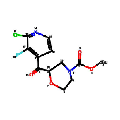 CC(C)(C)OC(=O)N1CCO[C@@H](C(=O)c2ccnc(Cl)c2F)C1